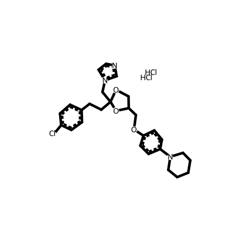 Cl.Cl.Clc1ccc(CCC2(Cn3ccnc3)OCC(COc3ccc(N4CCCCC4)cc3)O2)cc1